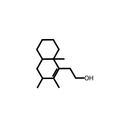 CC1=C(CCO)C2(C)CCCCC2CC1C